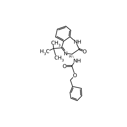 CC(C)(C)C1=N[C@@H](NC(=O)OCc2ccccc2)C(=O)Nc2ccccc21